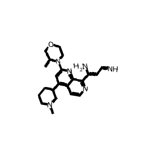 CC1COCCN1c1cc(C2CCCN(C)C2)c2ccnc(/C(N)=C/C=N)c2n1